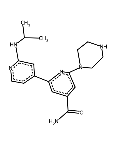 CC(C)Nc1cc(-c2cc(C(N)=O)cc(N3CCNCC3)n2)ccn1